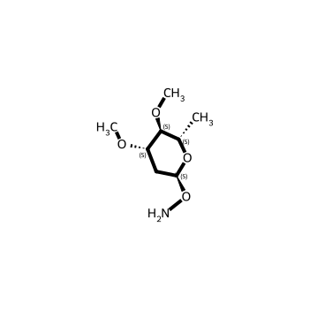 CO[C@H]1[C@H](C)O[C@@H](ON)C[C@@H]1OC